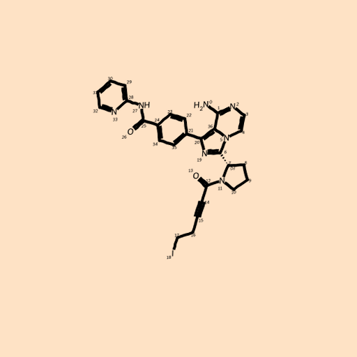 Nc1nccn2c([C@@H]3CCCN3C(=O)C#CCCI)nc(-c3ccc(C(=O)Nc4ccccn4)cc3)c12